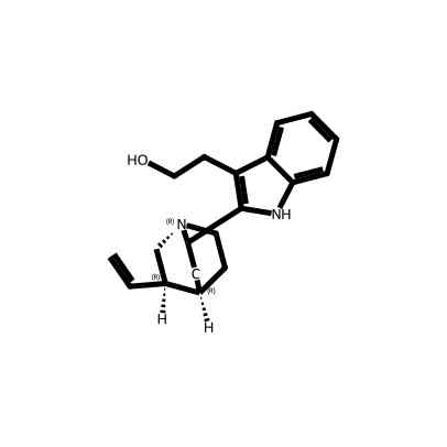 C=C[C@H]1C[N@]2CC[C@@H]1CC2c1[nH]c2ccccc2c1CCO